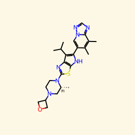 Cc1c(-c2[nH]c3sc(N4CCN(C5COC5)C[C@H]4C)nc3c2C(C)C)cn2ncnc2c1C